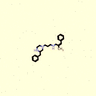 CC(=Cc1ccccc1)CNCCCN1CCNC(Cc2ccccc2)C1